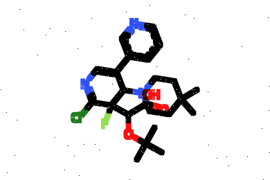 CC1(C)CCN(C2C(c3cccnc3)=CN=C(Cl)C2(F)C(OC(C)(C)C)C(=O)O)CC1